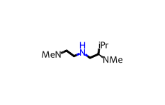 CNCCNC[C@H](NC)C(C)C